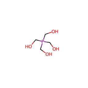 OC[P](CO)(CO)CO